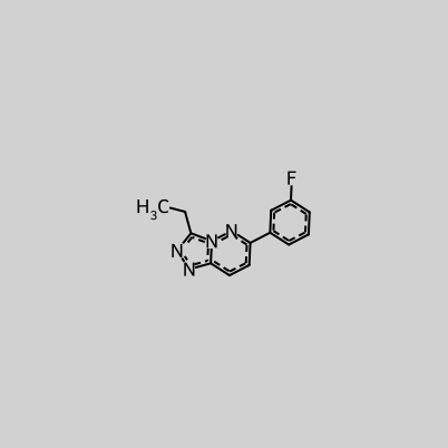 CCc1nnc2ccc(-c3cccc(F)c3)nn12